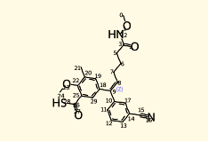 CONC(=O)CCC/C=C(/c1cccc(C#N)c1)c1cc(C)c(OC)c(C(=O)S)c1